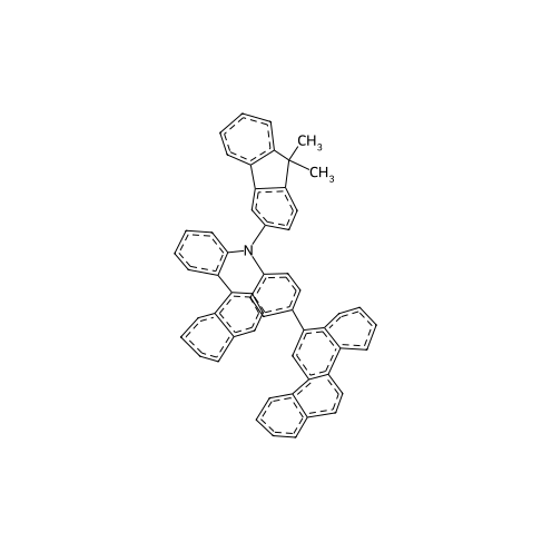 CC1(C)c2ccccc2-c2cc(N(c3ccc(-c4cc5c6ccccc6ccc5c5ccccc45)cc3)c3ccccc3-c3cccc4ccccc34)ccc21